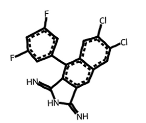 N=C1NC(=N)c2c1cc1cc(Cl)c(Cl)cc1c2-c1cc(F)cc(F)c1